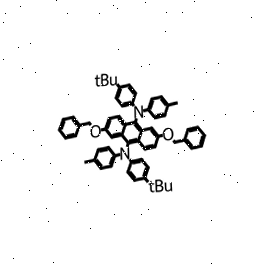 Cc1ccc(N(c2ccc(C(C)(C)C)cc2)c2c3ccc(OCc4ccccc4)cc3c(N(c3ccc(C)cc3)c3ccc(C(C)(C)C)cc3)c3ccc(OCc4ccccc4)cc23)cc1